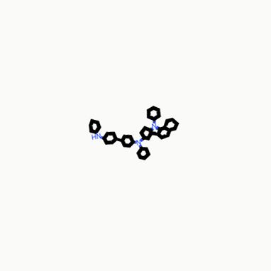 c1ccc(Nc2ccc(-c3ccc(N(c4ccccc4)c4ccc5c(c4)c4ccc6ccccc6c4n5-c4ccccc4)cc3)cc2)cc1